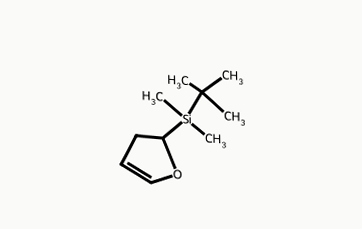 CC(C)(C)[Si](C)(C)C1CC=CO1